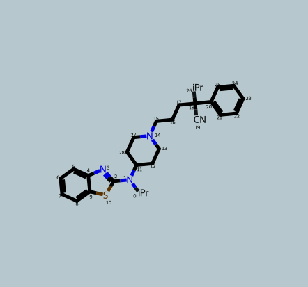 CC(C)N(c1nc2ccccc2s1)C1CCN(CCCC(C#N)(c2ccccc2)C(C)C)CC1